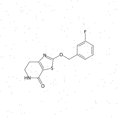 O=C1NCCc2nc(OCc3cccc(F)c3)sc21